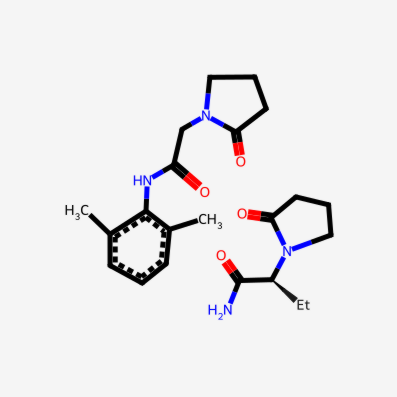 CC[C@@H](C(N)=O)N1CCCC1=O.Cc1cccc(C)c1NC(=O)CN1CCCC1=O